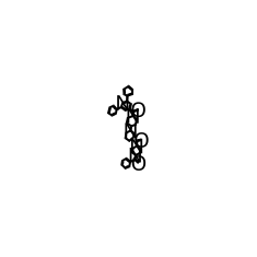 O=C(c1cc(-c2ccccc2)nc(-c2ccccc2)c1)N1CCC(N2CCC[C@@H](C(=O)N3CCN(C(=O)c4ccccc4)CC3)C2)CC1